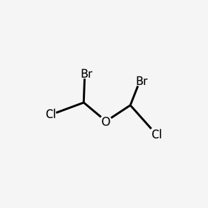 ClC(Br)OC(Cl)Br